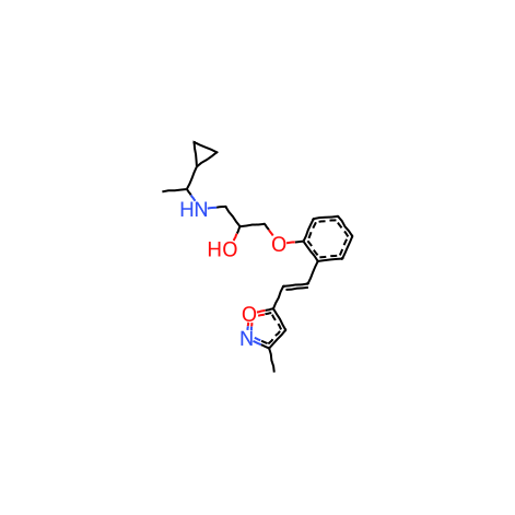 Cc1cc(C=Cc2ccccc2OCC(O)CNC(C)C2CC2)on1